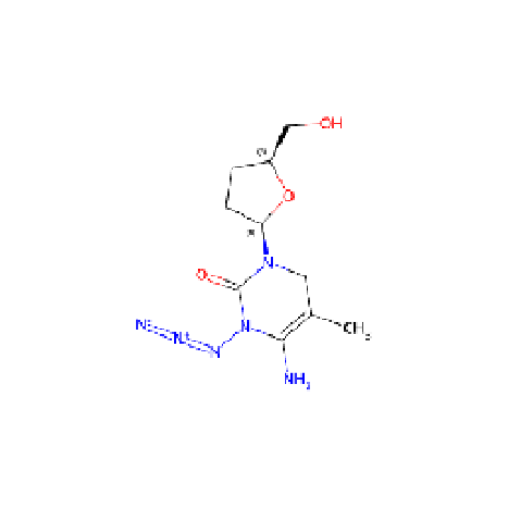 CC1=C(N)N(N=[N+]=[N-])C(=O)N([C@H]2CC[C@@H](CO)O2)C1